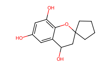 Oc1cc(O)c2c(c1)C(O)CC1(CCCC1)O2